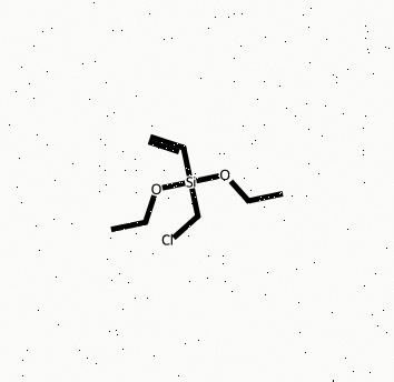 C=C[Si](CCl)(OCC)OCC